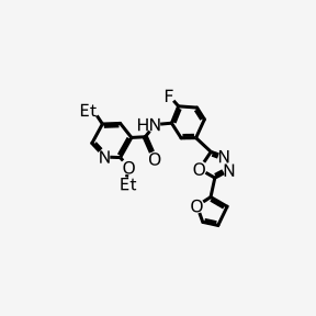 CCOc1ncc(CC)cc1C(=O)Nc1cc(-c2nnc(-c3ccco3)o2)ccc1F